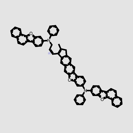 CC1=C(/C=C\CN(c2ccccc2)c2ccc3c(c2)oc2c4ccccc4ccc32)c2cc3cc4oc5cc(N(c6ccccc6)c6ccc7c(c6)oc6c8ccccc8ccc76)ccc5c4cc3cc2C1